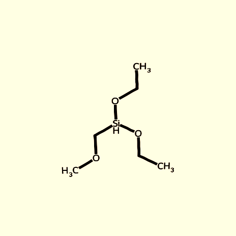 CCO[SiH](COC)OCC